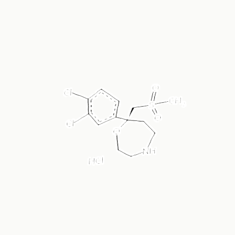 CS(=O)(=O)C[C@@]1(c2ccc(Cl)c(Cl)c2)CCNCCO1.Cl